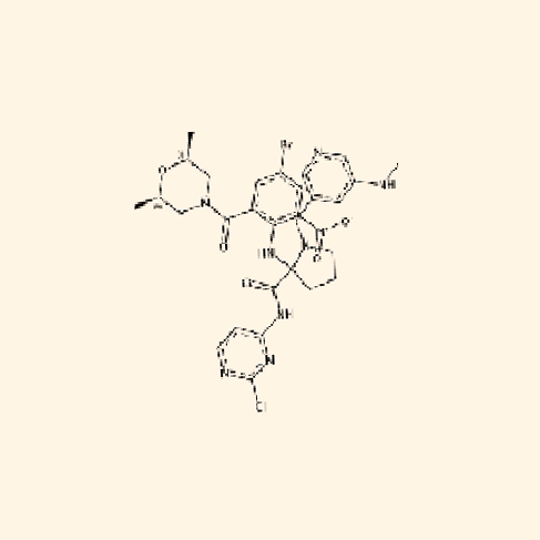 CNc1cncc(CN2CCCC2(Nc2c(C(=O)N3C[C@@H](C)O[C@@H](C)C3)cc(Br)cc2[N+](=O)[O-])C(=O)Nc2ccnc(Cl)n2)c1